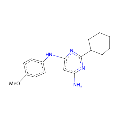 COc1ccc(Nc2cc(N)nc(C3CCCCC3)n2)cc1